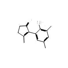 CC1=C(c2cc(C)cc(C)c2N)C(=O)CC1